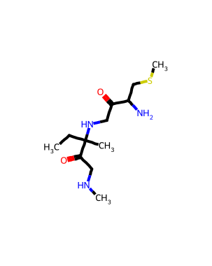 CCC(C)(NCC(=O)C(N)CSC)C(=O)CNC